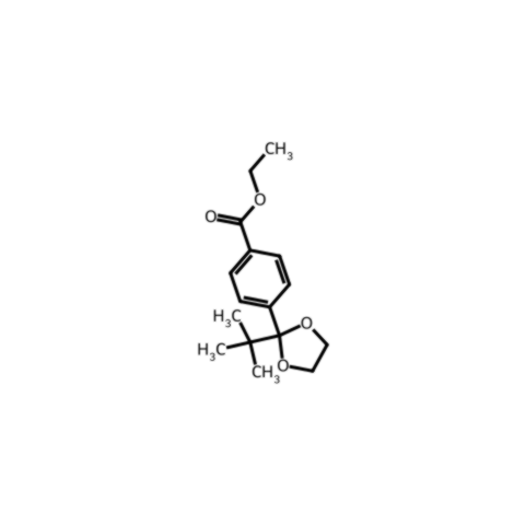 CCOC(=O)c1ccc(C2(C(C)(C)C)OCCO2)cc1